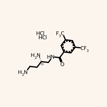 Cl.Cl.NCC[C@H](N)CNC(=O)c1cc(C(F)(F)F)cc(C(F)(F)F)c1